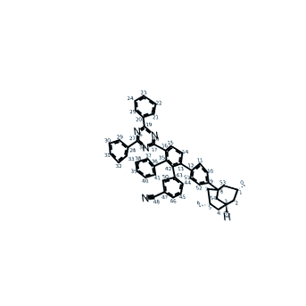 C[C@@H]1C[C@@H]2C[C@H](C)CC(c3ccc(-c4ccc(-c5nc(-c6ccccc6)nc(-c6ccccc6)n5)c(-c5ccccc5)c4-c4cccc(C#N)c4)cc3)(C1)C2